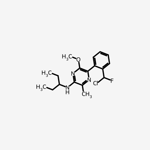 CCC(CC)Nc1nc(OC)c(-c2ccccc2C(F)Cl)nc1C